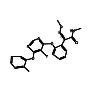 CNC(=O)/C(=N\OC)c1ccccc1Oc1ncnc(Oc2ccccc2C)c1F